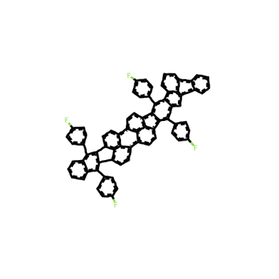 Fc1ccc(-c2c3c(c(-c4ccc(F)cc4)c4ccccc24)-c2ccc4c5ccc6c7c(-c8ccc(F)cc8)c8c(cc9c%10ccccc%10c%10cccc8c%109)c(-c8ccc(F)cc8)c7c7ccc(c8ccc-3c2c84)c5c76)cc1